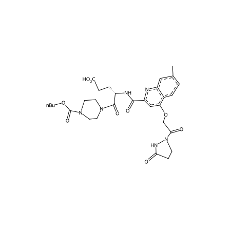 CCCCOC(=O)N1CCN(C(=O)[C@H](CCC(=O)O)NC(=O)c2cc(OCC(=O)N3CCC(=O)N3)c3ccc(C)cc3n2)CC1